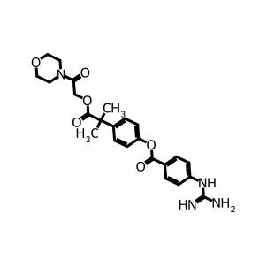 CC(C)(C(=O)OCC(=O)N1CCOCC1)c1ccc(OC(=O)c2ccc(NC(=N)N)cc2)cc1